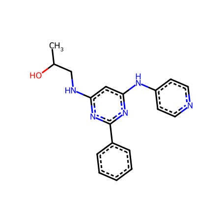 CC(O)CNc1cc(Nc2ccncc2)nc(-c2ccccc2)n1